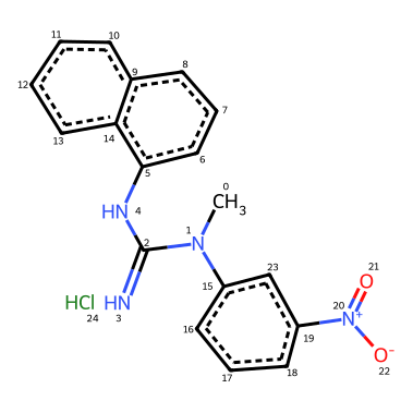 CN(C(=N)Nc1cccc2ccccc12)c1cccc([N+](=O)[O-])c1.Cl